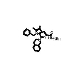 Cc1c(C)n(Cc2ccccc2)c2c(N3CCc4ccccc4C3)nc(C(=O)NC(C)(C)C)cc12